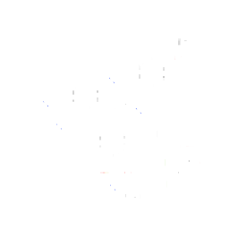 CCOc1cc(C(Nc2ccc3c(N)nccc3c2)C(=O)NC(C)c2cccc(S(=O)(=O)NC(C)(C)C)c2)ccc1OC(C)C.O=C(O)C(F)(F)F